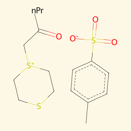 CCCC(=O)C[S+]1CCSCC1.Cc1ccc(S(=O)(=O)[O-])cc1